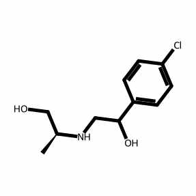 C[C@@H](CO)NCC(O)c1ccc(Cl)cc1